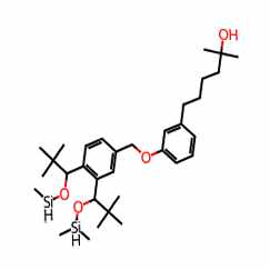 C[SiH](C)OC(c1ccc(COc2cccc(CCCCC(C)(C)O)c2)cc1C(O[SiH](C)C)C(C)(C)C)C(C)(C)C